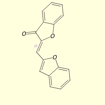 O=C1/C(=C/c2cc3ccccc3o2)Oc2ccccc21